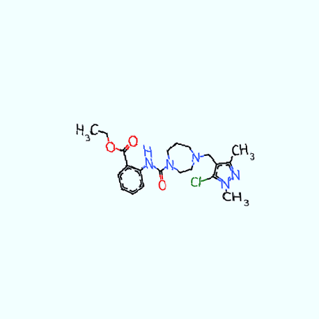 CCOC(=O)c1ccccc1NC(=O)N1CCCN(Cc2c(C)nn(C)c2Cl)CC1